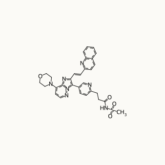 CS(=O)(=O)NC(=O)CCc1ccc(-c2c(C=Cc3ccc4ccccc4n3)nc3c(N4CCOCC4)ccnn23)cn1